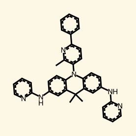 Cc1nc(-c2ccccc2)ccc1N1c2ccc(Nc3ccccn3)cc2C(C)(C)c2cc(Nc3ccccn3)ccc21